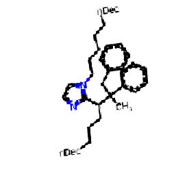 CCCCCCCCCCCCCCCn1ccnc1C(CCCCCCCCCCCCC)C(C)(Cc1ccccc1)c1ccccc1